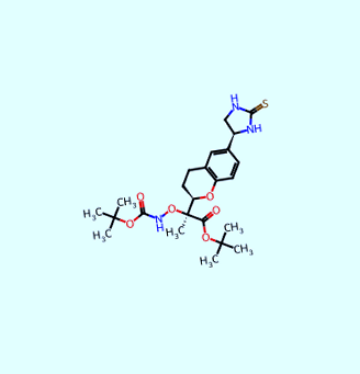 CC(C)(C)OC(=O)NO[C@](C)(C(=O)OC(C)(C)C)[C@H]1CCc2cc([C@H]3CNC(=S)N3)ccc2O1